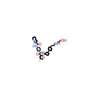 O=C(NC1CCC(NC(=O)c2cc(F)cnc2Oc2cccc(-c3ccc(CCCNCCCO)cc3)c2)CC1)c1cc2ccccn2n1